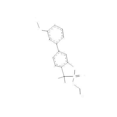 CCOP1(=O)Oc2cc(-c3cccc(OC)c3)ccc2C1(C)C